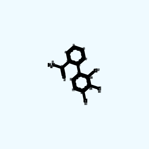 NC(=O)c1ccccc1-c1ccc(Cl)c(Cl)c1Cl